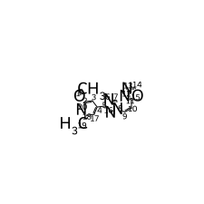 COc1cc(-c2ncn(/C=C\c3nnco3)n2)cc(C)n1